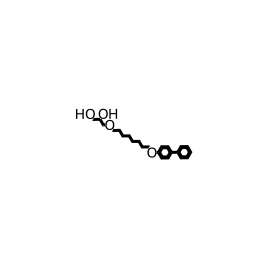 OCC(O)COCCCCCCCCOc1ccc(-c2ccccc2)cc1